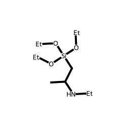 CCNC(C)C[Si](OCC)(OCC)OCC